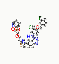 O=S(=O)(CCOCCc1nc(-c2ccc3ncnc(Nc4ccc(OCc5cccc(F)c5)c(Cl)c4)c3c2)cs1)c1ccccn1